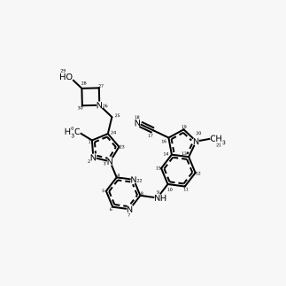 Cc1nn(-c2ccnc(Nc3ccc4c(c3)c(C#N)cn4C)n2)cc1CN1CC(O)C1